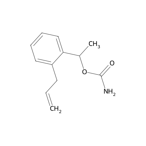 C=CCc1ccccc1C(C)OC(N)=O